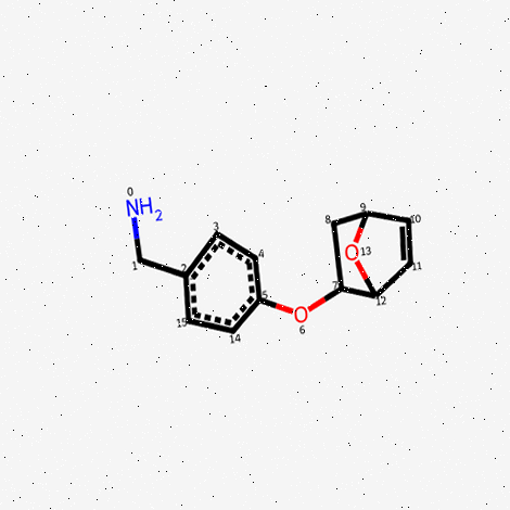 NCc1ccc(OC2CC3C=CC2O3)cc1